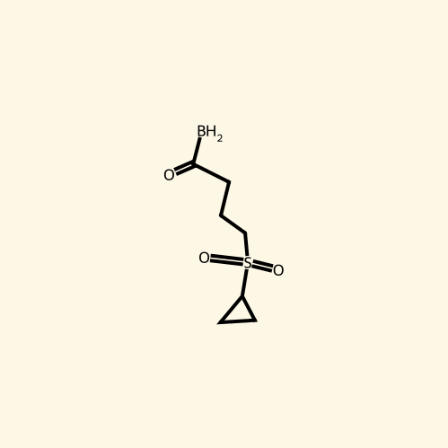 BC(=O)CCCS(=O)(=O)C1CC1